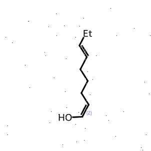 CCC=CCCC/C=C\O